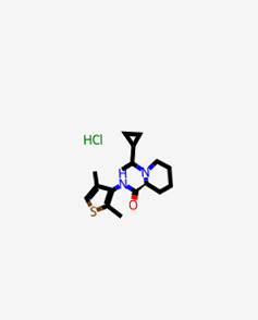 Cc1csc(C)c1NC(=O)[C@@H]1CCCCN1C(C)C1CC1.Cl